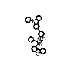 C1=CC(c2c(-c3cccc4oc5ccccc5c34)nc3oc4ccc(-c5ccc6c(c5)c5ccccc5n6-c5ccccc5)cc4n23)=CCC1